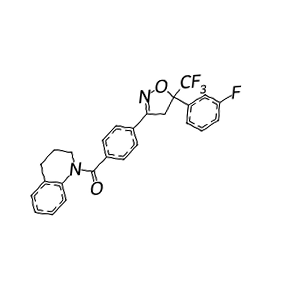 O=C(c1ccc(C2=NOC(c3cccc(F)c3)(C(F)(F)F)C2)cc1)N1CCCc2ccccc21